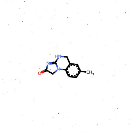 Cc1ccc2c(c1)CNC1=NC(=O)CN12